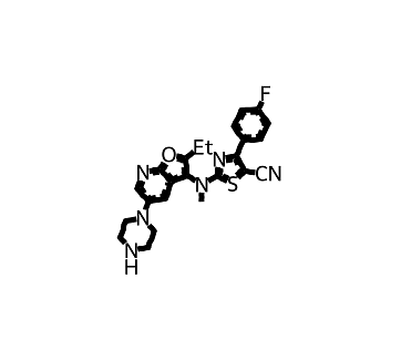 CCc1oc2ncc(N3CCNCC3)cc2c1N(C)c1nc(-c2ccc(F)cc2)c(C#N)s1